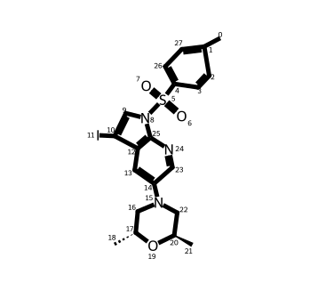 Cc1ccc(S(=O)(=O)n2cc(I)c3cc(N4C[C@@H](C)O[C@H](C)C4)cnc32)cc1